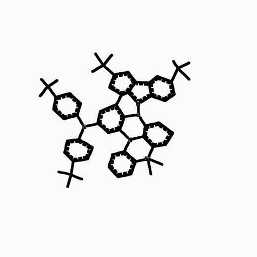 CC(C)(C)c1ccc(N(c2ccc(C(C)(C)C)cc2)c2cc3c4c(c2)N2c5ccccc5[Si](C)(C)c5cccc(c52)B4n2c4ccc(C(C)(C)C)cc4c4cc(C(C)(C)C)cc-3c42)cc1